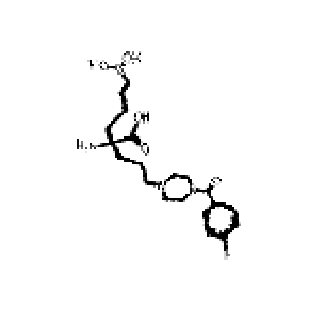 NC(CCCCB(O)O)(CCCN1CCN(C(=O)c2ccc(F)cc2)CC1)C(=O)O